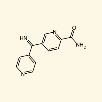 N=C(c1ccncc1)c1ccc(C(N)=O)nc1